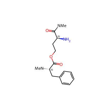 CNC(=O)[C@@H](N)CCOC(=O)[C@H](Cc1ccccc1)NC